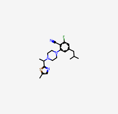 Cc1cnc(C(C)N2CCN(c3cc(CC(C)C)cc(F)c3C#N)CC2)s1